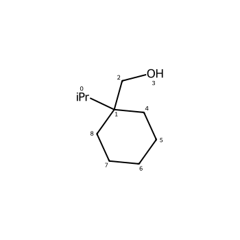 CC(C)C1(CO)CCCCC1